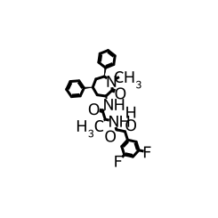 C[C@H](NC(=O)[C@H](O)c1cc(F)cc(F)c1)C(=O)N[C@H]1C[C@@H](c2ccccc2)C[C@@H](c2ccccc2)N(C)C1=O